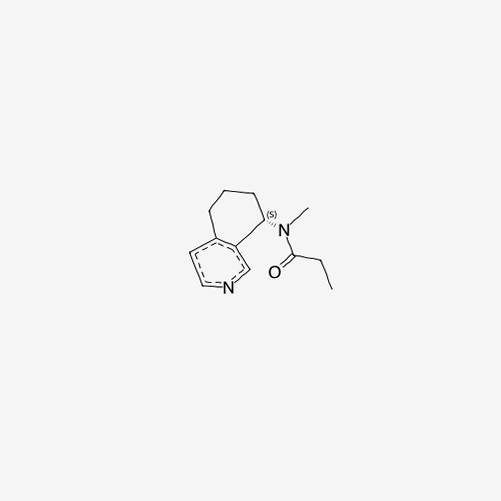 CCC(=O)N(C)[C@H]1CCCc2ccncc21